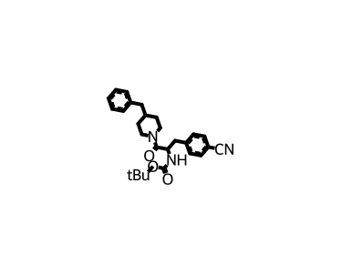 CC(C)(C)OC(=O)NC(Cc1ccc(C#N)cc1)C(=O)N1CCC(Cc2ccccc2)CC1